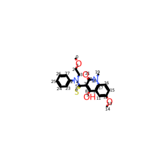 COCCN(C(=S)c1c(O)c2cc(OC)ccc2n(C)c1=O)c1ccccc1